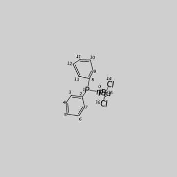 CCCCP(c1ccccc1)c1ccccc1.[Cl][Pt][Cl]